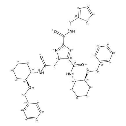 O=C(Cn1nc(C(=O)NCc2cccs2)cc1C(=O)N[C@H]1CCCC[C@@H]1OCc1ccccc1)N[C@H]1CCCC[C@@H]1OCc1ccccc1